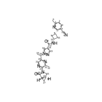 Cc1ccc(C#N)c([C@H]2C[C@@H](NC(=O)c3cnn(C(C)c4cnc(N5C[C@H]6C[C@H]6C5=O)c(C)n4)c3)C2)n1